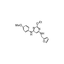 CCOc1nc(NCc2ccco2)cc(Nc2ccc(OC)cc2)n1